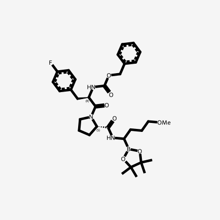 COCCCC(NC(=O)[C@@H]1CCCN1C(=O)[C@@H](Cc1ccc(F)cc1)NC(=O)OCc1ccccc1)B1OC(C)(C)C(C)(C)O1